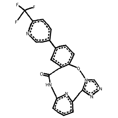 O=C1Nc2cccc(n2)-c2nncn2Oc2ccc(-c3ccc(C(F)(F)F)nc3)cc21